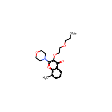 COCCOCCOc1c(N2CCOCC2)oc2c(C)cccc2c1=O